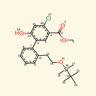 COC(=O)c1cc(-c2ccccc2CCO[Si](C)(C)C(C)(C)C)c(O)cc1Cl